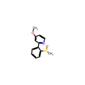 COc1ccnc(-c2ccccc2[S+](C)[O-])c1